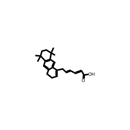 CC1(C)CCC(C)(C)c2cc3c(cc21)CCC=C3CC=CC=CC(=O)O